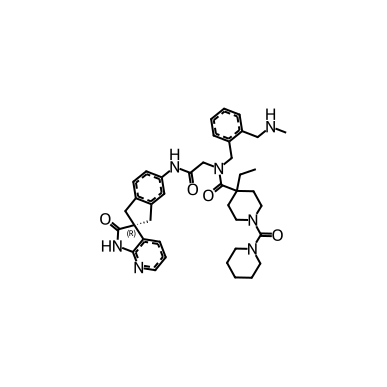 CCC1(C(=O)N(CC(=O)Nc2ccc3c(c2)C[C@@]2(C3)C(=O)Nc3ncccc32)Cc2ccccc2CNC)CCN(C(=O)N2CCCCC2)CC1